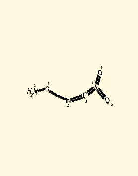 NON=C=S(=O)=O